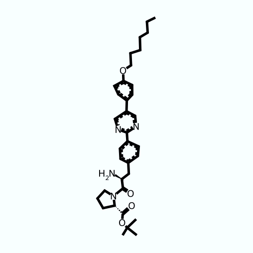 CCCCCCCOc1ccc(-c2cnc(-c3ccc(C[C@H](N)C(=O)N4CCC[C@H]4C(=O)OC(C)(C)C)cc3)nc2)cc1